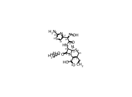 C=CC1=C(C(=O)O)N2C(=O)C(NC(=O)/C(=N\O)c3csc(N)n3)[C@H]2SC1.O.O.O